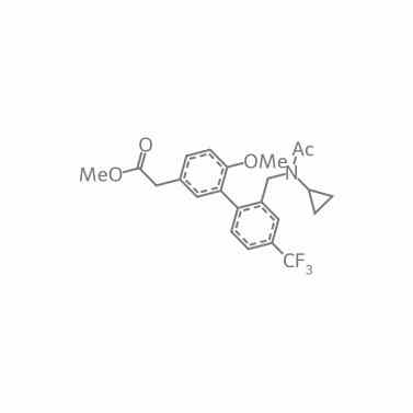 COC(=O)Cc1ccc(OC)c(-c2ccc(C(F)(F)F)cc2CN(C(C)=O)C2CC2)c1